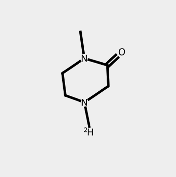 [2H]N1CCN(C)C(=O)C1